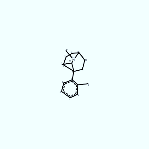 Cc1ccccc1C12CCCC(CC1)N(C)C2C